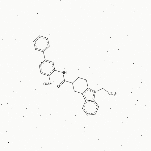 COc1ccc(-c2ccccc2)cc1NC(=O)C1CCc2c(c3ccccc3n2CC(=O)O)C1